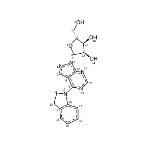 OC[C@H]1O[C@@H](n2ncc3c(N4CCc5ccccc54)ncnc32)[C@H](O)[C@@H]1O